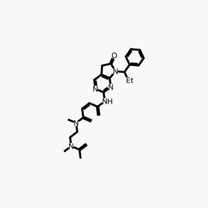 C=C(/C=C\C(=C)N(C)CCN(C)C(=C)C)Nc1ncc2c(n1)N(C(CC)c1ccccc1)C(=O)C2